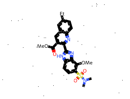 CCc1ccc2nc(-c3nc4c(OC)c(S(=O)(=O)N(C)C)ccc4[nH]3)c(C(=O)OC)cc2c1